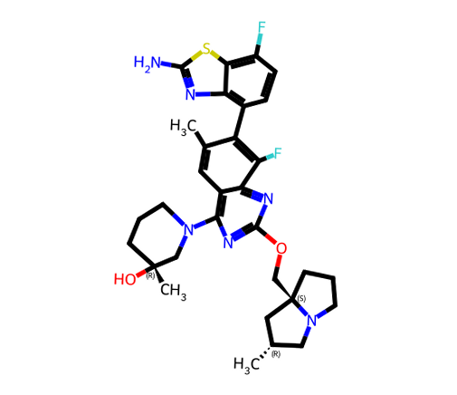 Cc1cc2c(N3CCC[C@@](C)(O)C3)nc(OC[C@@]34CCCN3C[C@H](C)C4)nc2c(F)c1-c1ccc(F)c2sc(N)nc12